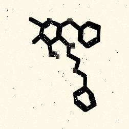 Cc1nc(Oc2ccccc2)c(NCCOCc2ccccc2)c(N)c1C